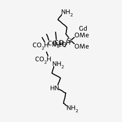 CC(=O)O.CC(=O)O.CC(=O)O.CC(=O)O.CO[Si](CCCN)(OC)OC.NCCNCCN.[Gd]